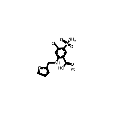 NS(=O)(=O)c1cc(C(=O)O)c(NCc2ccco2)cc1Cl.[Pt]